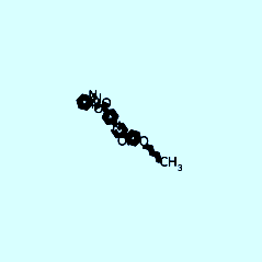 CCCCCCOc1ccc(C2(O)CCN(c3ccc(C(=O)On4nnc5ccccc54)cc3)CC2)cc1